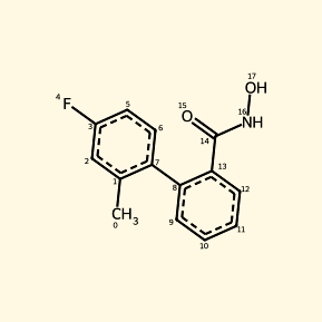 Cc1cc(F)ccc1-c1ccccc1C(=O)NO